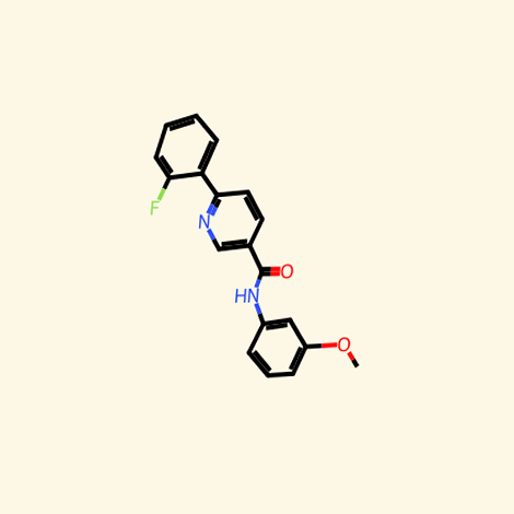 COc1cccc(NC(=O)c2ccc(-c3ccccc3F)nc2)c1